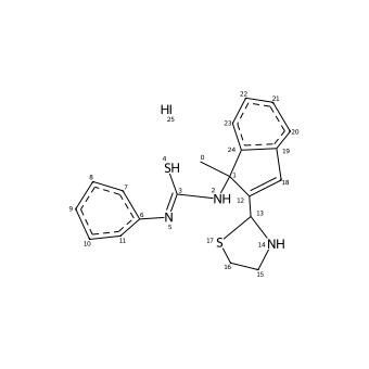 CC1(NC(S)=Nc2ccccc2)C(C2NCCS2)=Cc2ccccc21.I